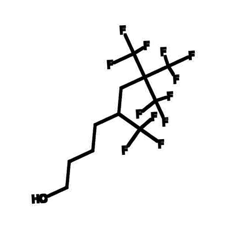 OCCCCC(CC(C(F)(F)F)(C(F)(F)F)C(F)(F)F)C(F)(F)F